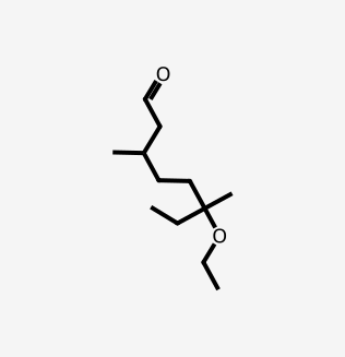 CCOC(C)(CC)CCC(C)CC=O